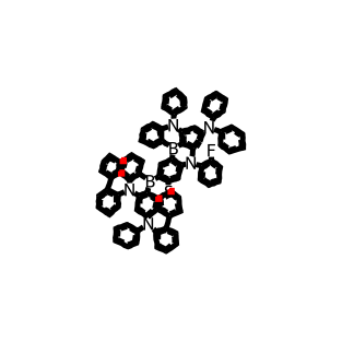 Fc1ccccc1N1c2cc3c(cc2B2c4ccccc4N(c4ccccc4)c4cc(N(c5ccccc5)c5ccccc5)cc1c42)B1c2ccccc2N(c2ccccc2-c2ccccc2)c2cc(N(c4ccccc4)c4ccccc4-c4ccccc4)cc(c21)S3